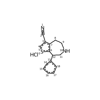 Cl.N#Cc1csc2c1CCNCC2c1ccccc1